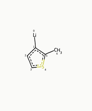 [Li][c]1ccsc1C